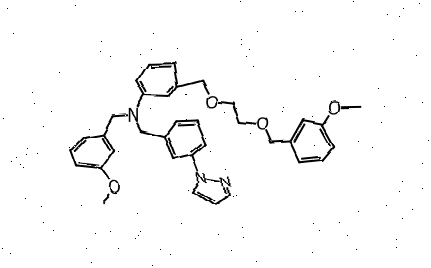 COc1cccc(COCCOCc2cccc(N(Cc3cccc(OC)c3)Cc3cccc(-n4cccn4)c3)c2)c1